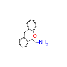 NCC1Oc2ccccc2Cc2ccccc21